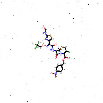 O=CNc1nc(C(=NOCC(F)(F)F)C(=O)NC2C(=O)N3C(C(=O)OCc4ccc([N+](=O)[O-])cc4)=C(Cl)CS[C@@H]23)cs1